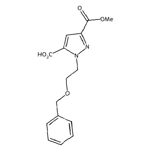 COC(=O)c1cc(C(=O)O)n(CCOCc2ccccc2)n1